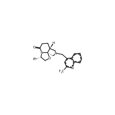 CC(C)[C@H]1CO[C@]23CCN(Cc4cc(C(F)(F)F)nc5ccccc45)C[C@H]2CCC(=O)N13